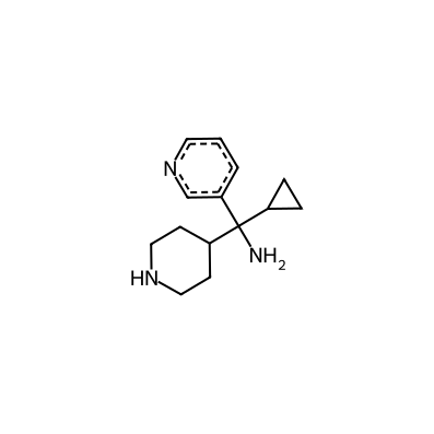 NC(c1cccnc1)(C1CCNCC1)C1CC1